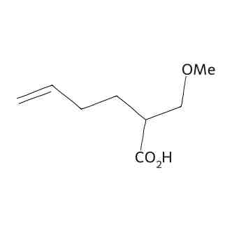 C=CCCC(COC)C(=O)O